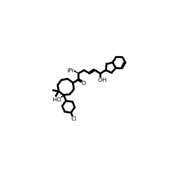 CC(C)[C@@H](C/C=C/C(O)C1CC2C=CCCC2C1)C(=O)C1CCCC(C)(C)[C@@](O)(C2CCC(Cl)CC2)CC1